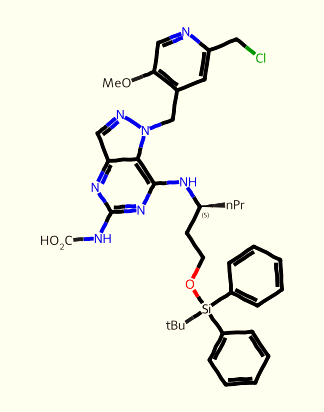 CCC[C@@H](CCO[Si](c1ccccc1)(c1ccccc1)C(C)(C)C)Nc1nc(NC(=O)O)nc2cnn(Cc3cc(CCl)ncc3OC)c12